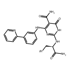 CC(C)C[C@@H](Nc1nc(Nc2cccc(-c3ccccn3)c2)c(C(N)=O)c(=O)[nH]1)C(N)=O